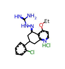 CCOc1ccnc2c1C(=NNC(=N)N)CC(c1ccccc1Cl)C2.Cl